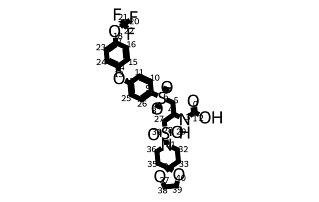 O=C(O)NC(CS(=O)(=O)c1ccc(Oc2ccc(OC(F)(F)F)cc2)cc1)CS(=O)(=O)N1CCC2(CC1)OCCO2